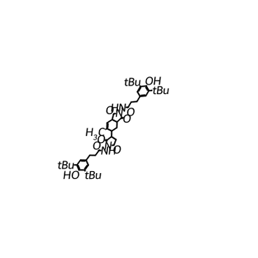 CC1=CC2C(=O)N(NC(=O)CCc3cc(C(C)(C)C)c(O)c(C(C)(C)C)c3)C(=O)C2CC1C1CC(=O)N(NC(=O)CCc2cc(C(C)(C)C)c(O)c(C(C)(C)C)c2)C1=O